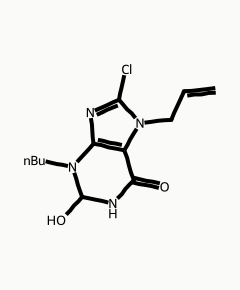 C=CCn1c(Cl)nc2c1C(=O)NC(O)N2CCCC